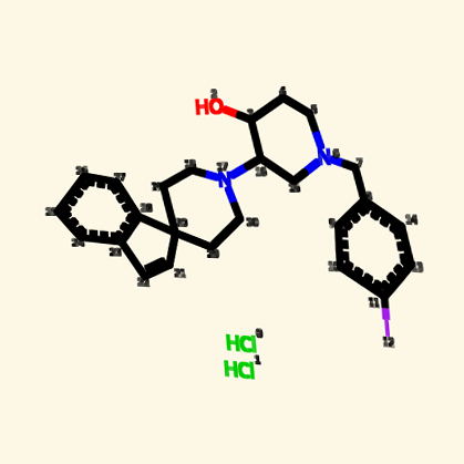 Cl.Cl.OC1CCN(Cc2ccc(I)cc2)CC1N1CCC2(C=Cc3ccccc32)CC1